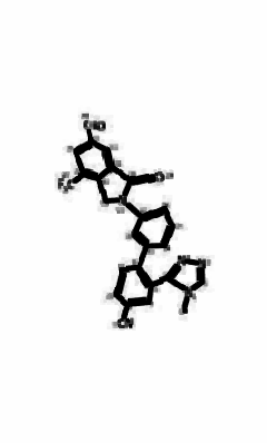 Cn1cnnc1-c1cc(C#N)ccc1-c1cccc(N2Cc3c(cc(C=O)cc3C(F)(F)F)C2=O)c1